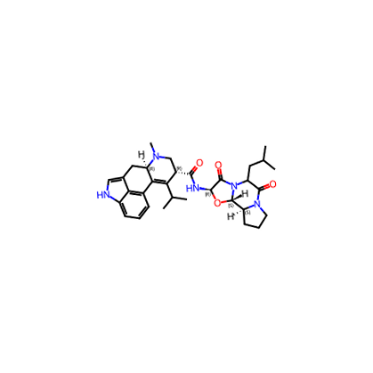 CC(C)CC1C(=O)N2CCC[C@H]2[C@@H]2O[C@@H](NC(=O)[C@H]3CN(C)[C@@H]4Cc5c[nH]c6cccc(c56)C4=C3C(C)C)C(=O)N12